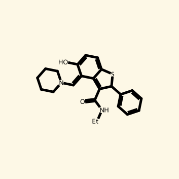 CCNC(=O)C1=c2c(ccc(O)c2=CN2CCCCC2)SC1c1ccccc1